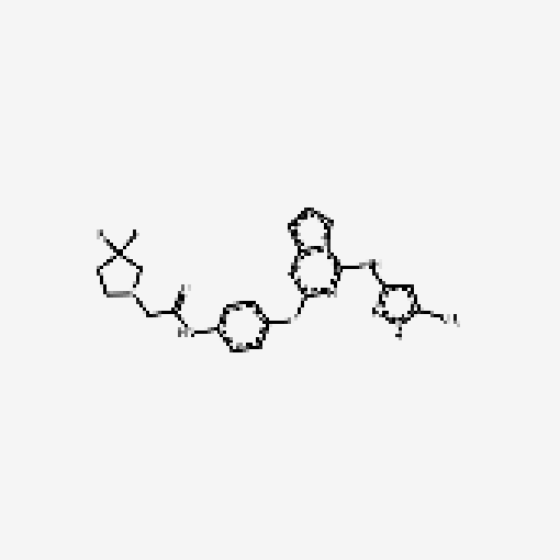 Cc1cc(Nc2nc(Sc3ccc(NC(=O)CN4CCC(F)(F)C4)cc3)nc3cccn23)n[nH]1